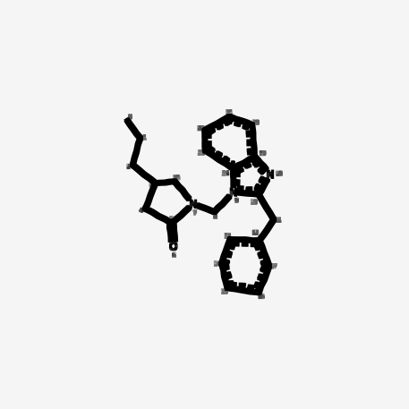 CCCC1CC(=O)N(Cn2c(Cc3ccccc3)nc3ccccc32)C1